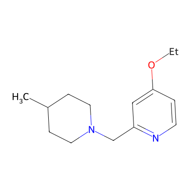 CCOc1ccnc(CN2CCC(C)CC2)c1